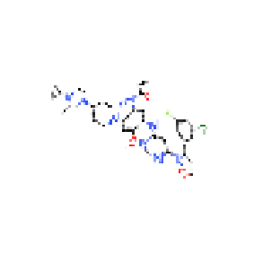 C=CC(=O)Nc1cc(Nc2cc(N3OCCC3c3cc(F)cc(Cl)c3)ncn2)c(OC)cc1N1CCC(N2CCN(C3CC3)C(C)C2)CC1